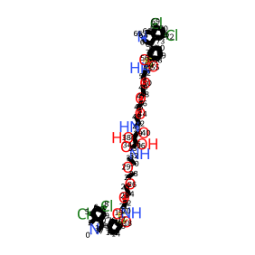 CN1Cc2c(Cl)cc(Cl)cc2[C@H](c2cccc(S(=O)(=O)NCCOCCOCCOCCNC(=O)[C@H](O)[C@@H](O)C(=O)NCCOCCOCCOCCNS(=O)(=O)c3cccc([C@@H]4CN(C)Cc5c(Cl)cc(Cl)cc54)c3)c2)C1